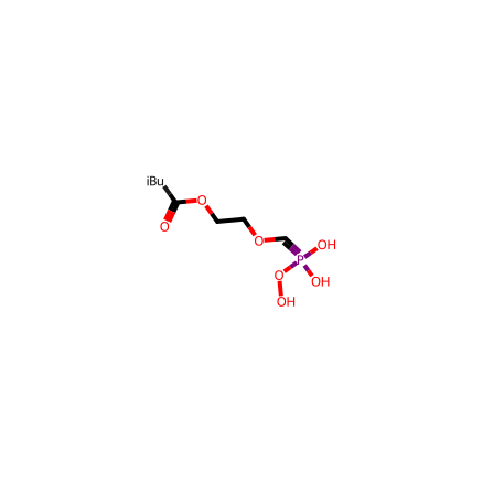 CCC(C)C(=O)OCCOC=P(O)(O)OO